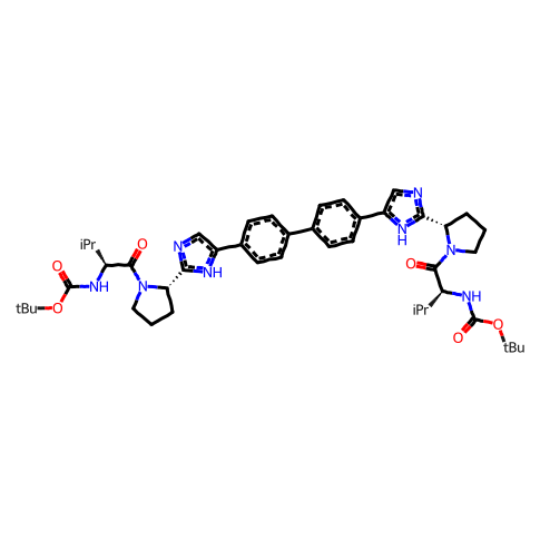 CC(C)[C@H](NC(=O)OC(C)(C)C)C(=O)N1CCC[C@H]1c1ncc(-c2ccc(-c3ccc(-c4cnc([C@@H]5CCCN5C(=O)[C@@H](NC(=O)OC(C)(C)C)C(C)C)[nH]4)cc3)cc2)[nH]1